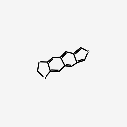 c1occ2cc3cc4c(cc3cc12)OCO4